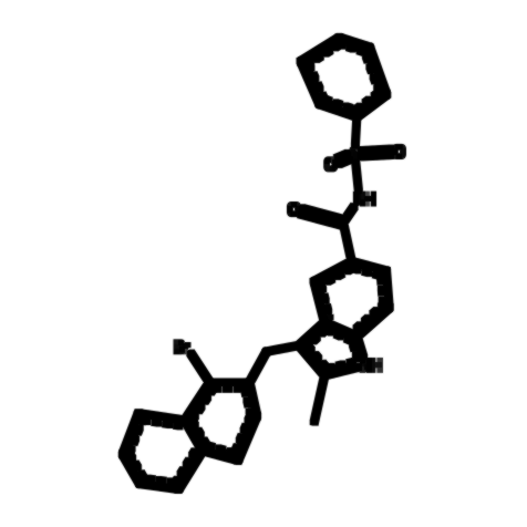 Cc1[nH]c2ccc(C(=O)NS(=O)(=O)c3ccccc3)cc2c1Cc1ccc2ccccc2c1Br